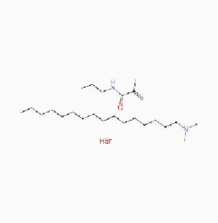 Br.C=C(C)C(=O)NCCC.CCCCCCCCCCCCCCCCN(C)C